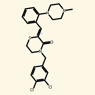 CN1CCN(c2ccccc2/C=C2\SCCN(Cc3ccc(Cl)c(Cl)c3)C2=O)CC1